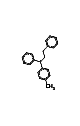 Cc1ccc([C](CCc2ccccc2)c2ccccc2)cc1